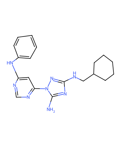 Nc1nc(NCC2CCCCC2)nn1-c1cc(Nc2ccccc2)ncn1